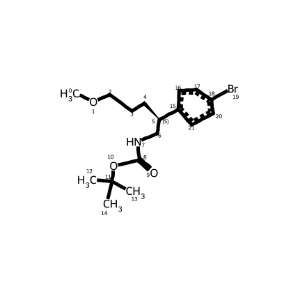 COCCC[C@H](CNC(=O)OC(C)(C)C)c1ccc(Br)cc1